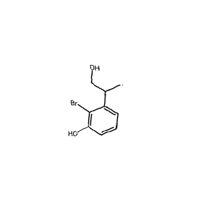 [CH2]C(CO)c1cccc(O)c1Br